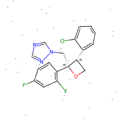 Fc1ccc([C@]2(Cn3cncn3)OC[C@H]2c2ccccc2Cl)c(F)c1